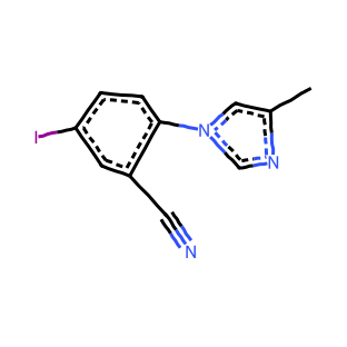 Cc1cn(-c2ccc(I)cc2C#N)cn1